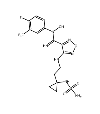 N=C(c1nonc1NCCC1(NS(N)(=O)=O)CC1)N(O)c1ccc(F)c(C(F)(F)F)c1